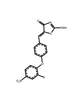 CSC1=NC(=O)C(=Cc2ccc(Oc3ccc([N+](=O)[O-])cc3F)cc2)S1